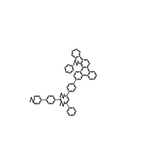 c1ccc(-c2cc(-c3ccc(-c4ccc5c(c4)c4ccccc4c4ccc6c7ccccc7n(-c7ccccc7)c6c45)cc3)nc(-c3ccc(-c4ccncc4)cc3)n2)cc1